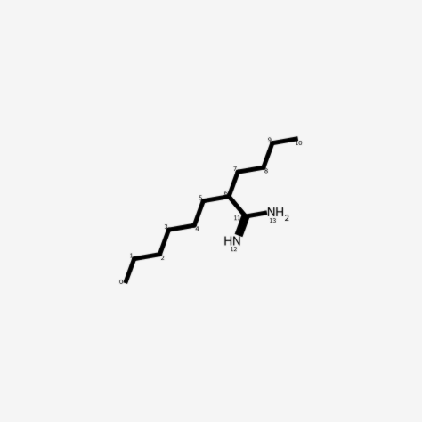 CCCCCCC(CCCC)C(=N)N